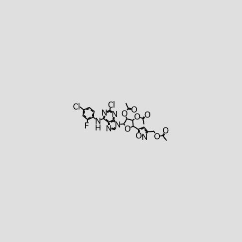 CC(=O)OCc1cc(C2OC(n3cnc4c(Nc5ccc(Cl)cc5F)nc(Cl)nc43)C(OC(C)=O)C2OC(C)=O)on1